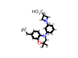 CC(C)Cc1ccc2c(c1)OC(C)(C)CN2c1cccc(N2CC(C(=O)O)C2)c1